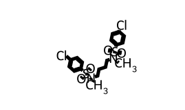 CN(CCCCN(C)S(=O)(=O)c1ccc(Cl)cc1)S(=O)(=O)c1ccc(Cl)cc1